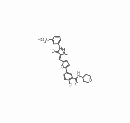 CC1=NN(c2cccc(C(=O)O)c2)C(=O)/C1=C/c1ccc(-c2ccc(Cl)c(C(=O)NC3CCOCC3)c2)o1